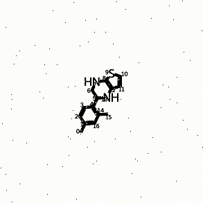 Cc1ccc(C2CNc3sccc3N2)c(C)c1